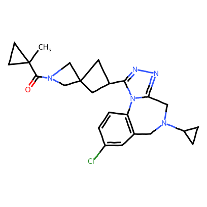 CC1(C(=O)N2CC3(CC(c4nnc5n4-c4ccc(Cl)cc4CN(C4CC4)C5)C3)C2)CC1